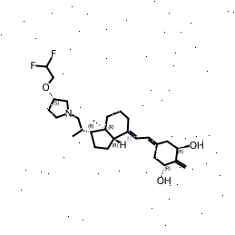 C=C1[C@H](O)CC(=C/C=C2\CCC[C@]3(C)[C@@H](C(C)CN4CC[C@H](OCC(F)F)C4)CC[C@@H]23)C[C@H]1O